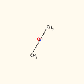 CCCCCCCCCCCCCCC=[N+]([O-])CCCCCCCCCCCCC